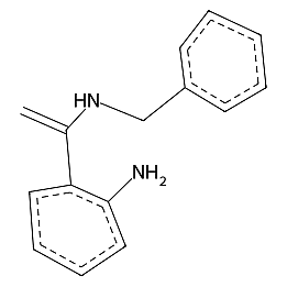 C=C(NCc1ccccc1)c1ccccc1N